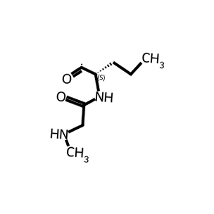 CCC[C@@H]([C]=O)NC(=O)CNC